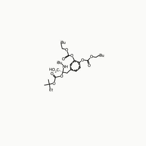 CCC(C)COC(=O)Oc1ccc(C[C@](NC(C)CC)(OC(=O)OC(C)(C)CC)C(=O)O)cc1OC(=O)OCC(C)CC